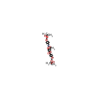 C=C(C)C(=O)OCCOc1ccc(/C=C/C(=O)Oc2ccc(OC(=O)c3ccc(OCCOC(=O)C(=C)C)cc3)cc2C)cc1